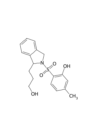 Cc1ccc(S(=O)(=O)N2Cc3ccccc3C2CCCO)c(O)c1